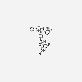 N#Cc1nc2cc(F)cc(C(=O)NCc3ccc(-n4c(-c5cccnc5N)nc5ccc(-c6ccccc6)nc54)cc3)c2s1